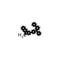 Cn1c2ccc(-c3ccc(N(c4ccccc4)c4cccc(-c5ccccc5)c4)cc3)cc2c2cc3ccccc3cc21